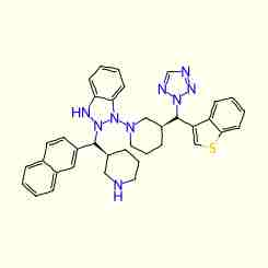 c1ccc2c(c1)NN(C(c1ccc3ccccc3c1)[C@H]1CCCNC1)N2N1CCC[C@H](C(c2csc3ccccc23)n2ncnn2)C1